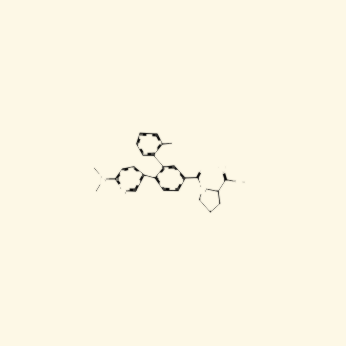 CN(C)c1ccc(-c2ccc(C(=O)N3CCCC3C(=O)O)cc2-c2ccccc2Cl)cn1